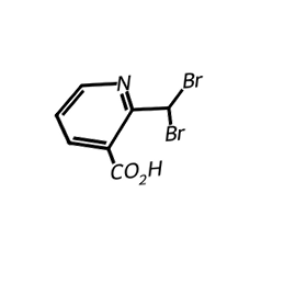 O=C(O)c1cccnc1C(Br)Br